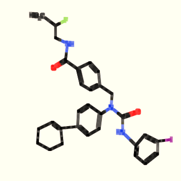 O=C(NCC(F)C(=O)O)c1ccc(CN(C(=O)Nc2cccc(I)c2)c2ccc(C3=CCCCC3)cc2)cc1